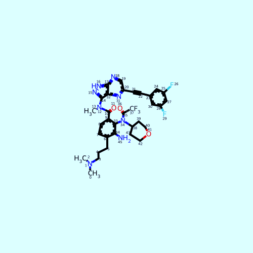 CN(C)CCCc1ccc(C(=O)N(C)c2n[nH]c3ncc(C#Cc4cc(F)cc(F)c4)nc23)c(N(C(=O)C(F)(F)F)C2CCOCC2)c1N